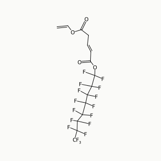 C=COC(=O)CC=CC(=O)OC(F)(F)C(F)(F)C(F)(F)C(F)(F)C(F)(F)C(F)(F)C(F)(F)C(F)(F)F